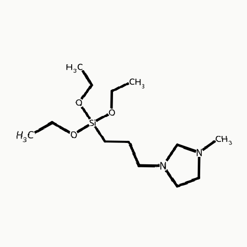 CCO[Si](CCCN1CCN(C)C1)(OCC)OCC